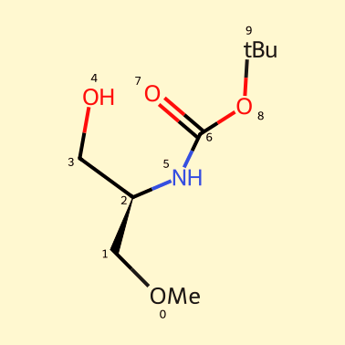 COC[C@@H](CO)NC(=O)OC(C)(C)C